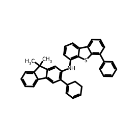 CC1(C)c2ccccc2-c2cc(C3=CC=CCC3)c(Nc3cccc4c3sc3c(-c5ccccc5)cccc34)cc21